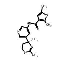 Cc1cc(C(=O)Nc2cncc([C@]3(C)CCSC(N)=N3)c2)c(C)o1